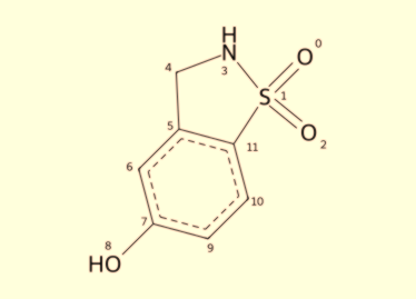 O=S1(=O)NCc2cc(O)ccc21